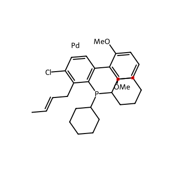 CC=CCc1c(Cl)ccc(-c2c(OC)cccc2OC)c1P(C1CCCCC1)C1CCCCC1.[Pd]